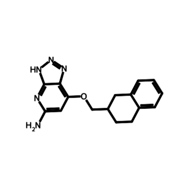 Nc1cc(OCC2CCc3ccccc3C2)c2nn[nH]c2n1